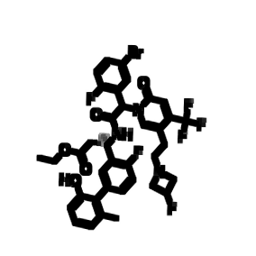 CCOC(=O)C[C@H](NC(=O)C(c1cc(Br)ccc1F)n1cc(CCN2CC(F)C2)c(C(F)(F)F)cc1=O)c1cc(-c2c(C)cccc2O)ccc1F